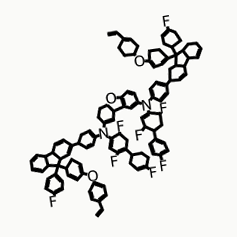 C=CC1=CCC(OC2=CC=C(C3(C4CC=C(F)CC4)C4CCC=CC4C4C=CC(c5ccc(N(C6=CC(F)C(c7ccc(F)cc7)CC6F)c6ccc7c(c6)C6C=C(N(C8=CCC(C9=CC%10C(C=C9)C9C=CC=CC9C%10(c9ccc(F)cc9)C9C=CC(Oc%10ccc(C=C)cc%10)=CC9)C=C8)C8=CC(F)=C(C9CC=C(F)CC9)CC8F)CCC6O7)cc5)CC43)CC2)CC1